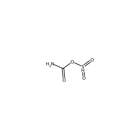 NC(=O)O[SH](=O)=O